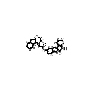 O=C(CN1C(=O)COC2Cc3ccccc3C21)Nc1ccc2c(c1)CC1(C2)C(=O)Nc2ncccc21